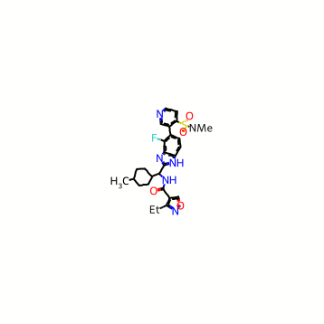 CCc1nocc1C(=O)NC(c1nc2c(F)c(-c3cnccc3S(=O)(=O)NC)ccc2[nH]1)C1CCC(C)CC1